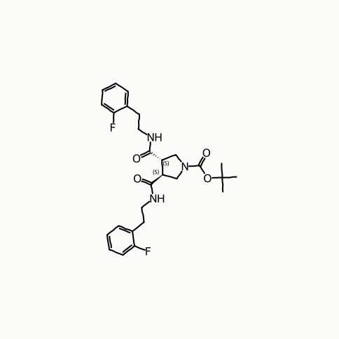 CC(C)(C)OC(=O)N1C[C@@H](C(=O)NCCc2ccccc2F)[C@H](C(=O)NCCc2ccccc2F)C1